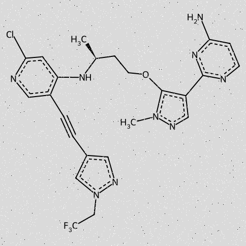 C[C@@H](CCOc1c(-c2nccc(N)n2)cnn1C)Nc1cc(Cl)ncc1C#Cc1cnn(CC(F)(F)F)c1